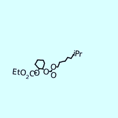 CCOC(=O)OC1CCCCC1OC(=O)OCCCCCC(C)C